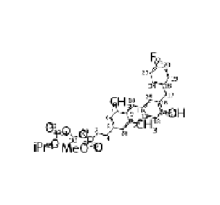 COP(=O)(CCc1cc(C)c(Cc2ccc(O)c(Cc3ccc(F)cc3)c2)c(C)c1)OCOC(=O)OC(C)C